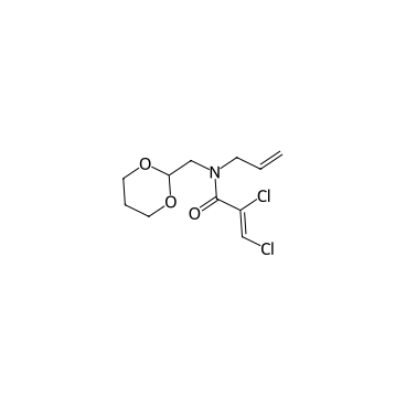 C=CCN(CC1OCCCO1)C(=O)C(Cl)=CCl